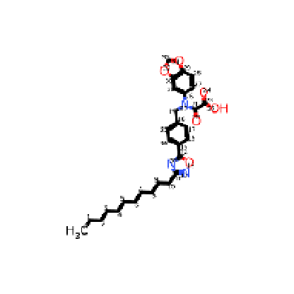 CCCCCCCCCCCc1noc(-c2ccc(CN(C(=O)C(=O)O)c3ccc4c(c3)OCO4)cc2)n1